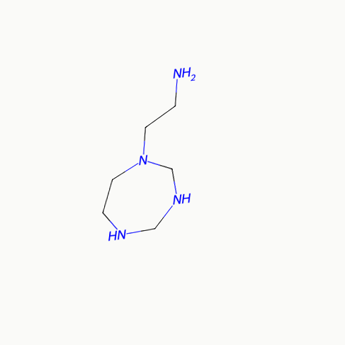 NCCN1CCNCNC1